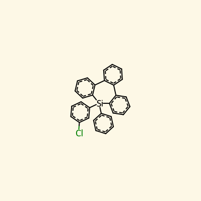 Clc1cccc([Si]2(c3ccccc3)c3ccccc3-c3ccccc3-c3ccccc32)c1